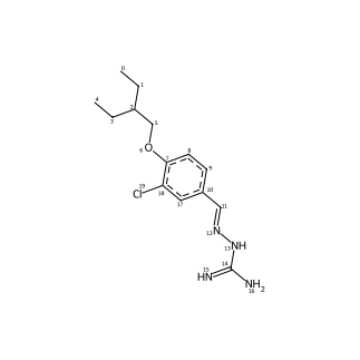 CCC(CC)COc1ccc(C=NNC(=N)N)cc1Cl